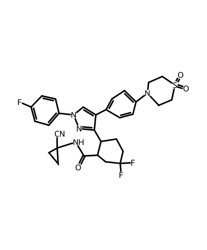 N#CC1(NC(=O)C2CC(F)(F)CCC2c2nn(-c3ccc(F)cc3)cc2-c2ccc(N3CCS(=O)(=O)CC3)cc2)CC1